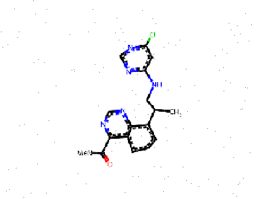 CNC(=O)c1ncnc2c(C(C)CNc3cc(Cl)ncn3)cccc12